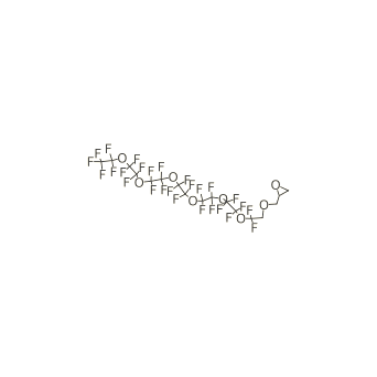 FC(F)(COCC1CO1)OC(F)(F)C(F)(F)OC(F)(F)C(F)(F)OC(F)(F)C(F)(F)OC(F)(F)C(F)(F)OC(F)(F)C(F)(F)OC(F)(F)C(F)(F)F